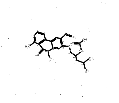 C=Cc1cc2c3ccnc(C)c3c(=O)n(C)c2cc1OCC(CC(C)C)NC(=O)O